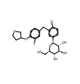 OC[C@H]1O[C@@H](c2ccc(Cl)c(Cc3ccc(OC4CCOC4)c(F)c3)c2)[C@H](O)[C@@H](O)[C@@H]1O